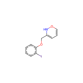 Ic1ccccc1OCC1=CC=CON1